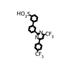 O=S(=O)(O)c1cccc(-c2cccc(-c3nc(-c4ccc(C(F)(F)F)cc4)cc(C(F)(F)F)n3)c2)c1